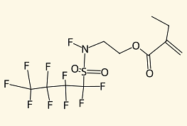 C=C(CC)C(=O)OCCN(F)S(=O)(=O)C(F)(F)C(F)(F)C(F)(F)C(F)(F)F